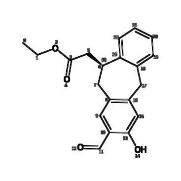 CCOC(=O)C[C@@H]1Cc2cc(C=O)c(O)cc2Cc2ccccc21